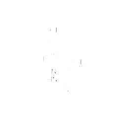 CCc1c(O)ccc(C2=NNC(=O)CC2C)c1F